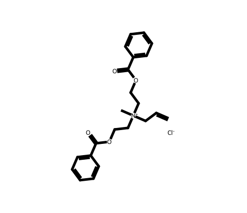 C=CC[N+](C)(CCOC(=O)c1ccccc1)CCOC(=O)c1ccccc1.[Cl-]